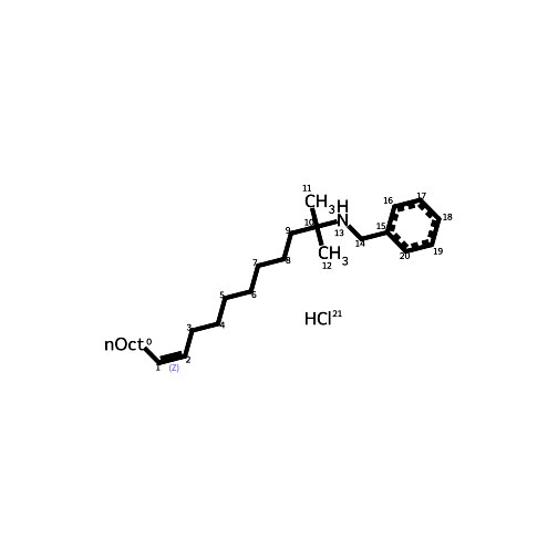 CCCCCCCC/C=C\CCCCCCCC(C)(C)NCc1ccccc1.Cl